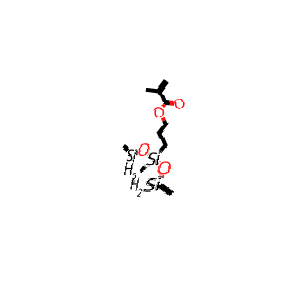 C=C(C)C(=O)OCCC[Si](C)(O[SiH2]C)O[SiH2]C